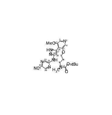 COc1cncc(OCCCN(C)C(=O)OC(C)(C)C)c1-c1cc(Nc2cnc(C#N)cn2)n[nH]1